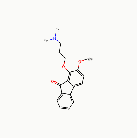 CCCCOc1ccc2c(c1OCCCN(CC)CC)C(=O)c1ccccc1-2